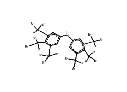 BrC(Br)(Br)c1cc(Nc2cc(C(Br)(Br)Br)c(C(Br)(Br)Br)c(C(Br)(Br)Br)c2)cc(C(Br)(Br)Br)c1C(Br)(Br)Br